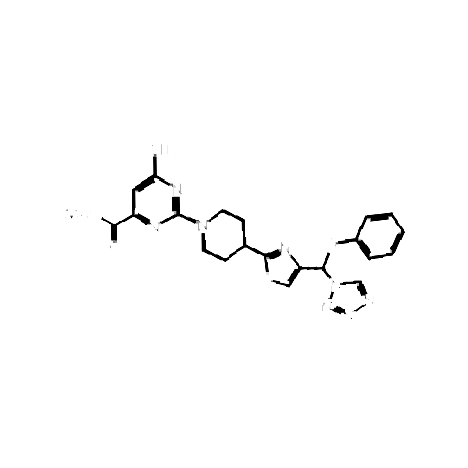 COC(=O)c1cc(C)nc(N2CCC(c3nc(C(Oc4ccccc4)n4cnnn4)cs3)CC2)n1